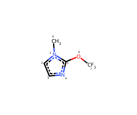 Cn1c[c]nc1OC(F)(F)F